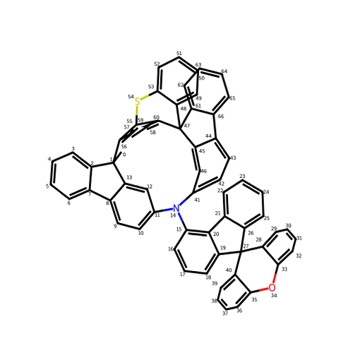 CC12c3ccccc3-c3ccc(cc31)N(c1cccc3c1-c1ccccc1C31c3ccccc3Oc3ccccc31)c1ccc3c(c1)C1(c4ccccc4Sc4c2cccc41)c1ccccc1-3